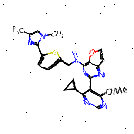 COc1ncnc(C2CC2)c1-c1nc(NCc2ccc(-c3nc(C(F)(F)F)cn3C)s2)c2occc2n1